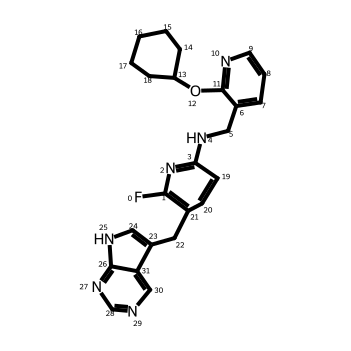 Fc1nc(NCc2cccnc2OC2CCCCC2)ccc1Cc1c[nH]c2ncncc12